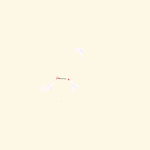 NC(=S)[C@@]1(c2cncc(C3CC3)c2)C[C@H]2CC[C@@H](C1)N2CC(F)(F)F